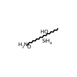 CCCCCCC(O)CCCCCCCCCCC(N)=O.[SiH4]